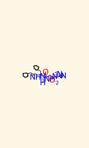 NC(CCC(Cc1ccccc1)NC(=O)C(N)CC(=O)N1CCn2cncc2C1)Cc1ccccc1